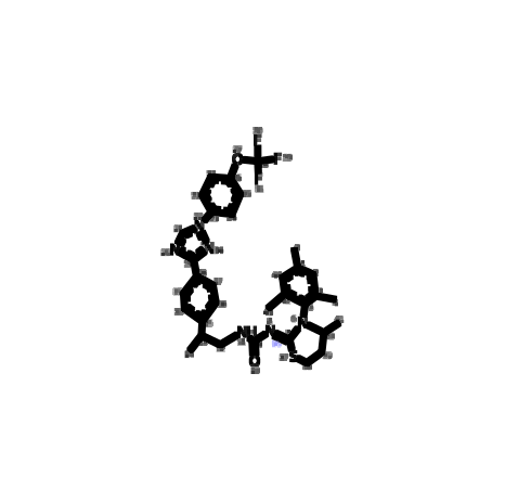 Cc1cc(C)c(N2/C(=N/C(=O)NCC(C)c3ccc(-c4ncn(-c5ccc(OC(F)(F)F)cc5)n4)cc3)SCCC2C)c(C)c1